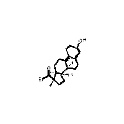 CCC(=O)[C@@]1(C)CC[C@H]2[C@@H]3CCC4=CC(O)CCC4=C3CC[C@@]21C